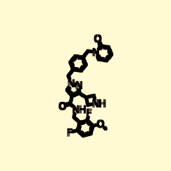 COc1ccc(F)c(CNC(=O)c2cn(Cc3ccc(Cn4ccccc4=O)cc3)nc2C2CNC2)c1F